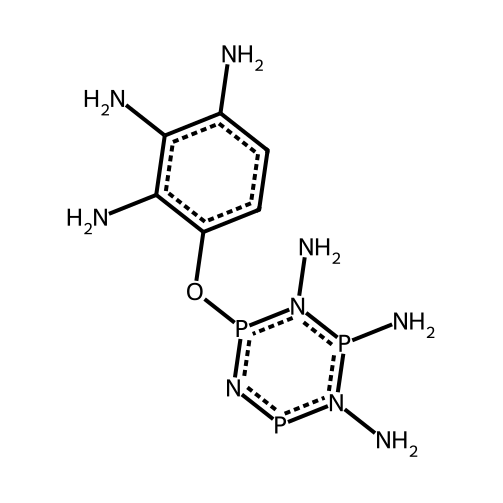 Nc1ccc(Op2npn(N)p(N)n2N)c(N)c1N